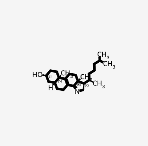 CC(C)CCC[C@@H](C)[C@H]1CN=C2C3=C(CC[C@@]21C)[C@@]1(C)CC[C@H](O)C[C@@H]1CC3